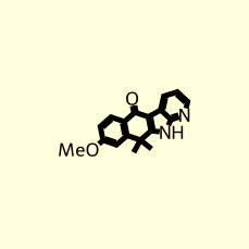 COc1ccc2c(c1)C(C)(C)c1[nH]c3ncccc3c1C2=O